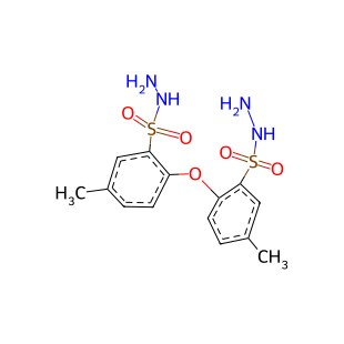 Cc1ccc(Oc2ccc(C)cc2S(=O)(=O)NN)c(S(=O)(=O)NN)c1